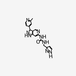 Cc1cc(-c2n[nH]c3cc(NC(=O)NCc4cc[nH]n4)ncc23)ccn1